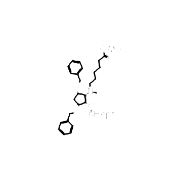 CCCCCCCO[C@H]1[C@H](N(C)CCCCCC(=O)OC)[C@@H](OCc2ccccc2)C[C@H]1OCc1ccccc1